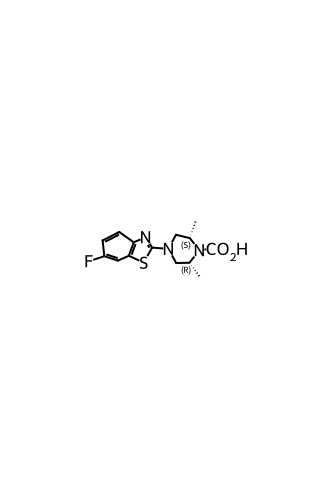 C[C@@H]1CN(c2nc3ccc(F)cc3s2)C[C@H](C)N1C(=O)O